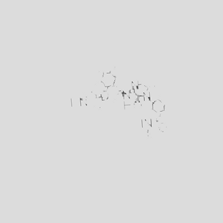 Cc1ccc(C(=O)NC2CC2)cc1-n1ccnc(NC(C)(C)c2ccccc2OC2CCNCC2)c1=O